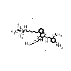 CCOCc1nc2c(NCc3ccc(OC)cc3OC)nc3cccc(CCCCCNC(=O)OC(C)(C)C)c3c2s1